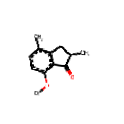 CCOc1ccc(C)c2c1C(=O)C(C)C2